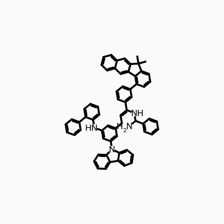 CC1(C)c2cc3ccccc3cc2-c2c(-c3cccc(/C(=C/Cc4cc(Nc5ccccc5-c5ccccc5)cc(-n5c6ccccc6c6ccccc65)c4)NC(N)c4ccccc4)c3)cccc21